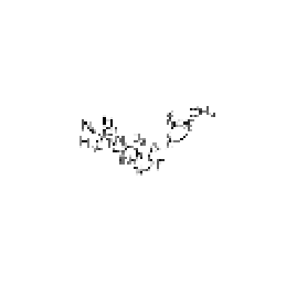 Cc1nn(C(C)(C)C#N)cc1Nc1ncc(F)c(OC[C@H]2CC[C@@H](C)[C@H](F)C2)n1